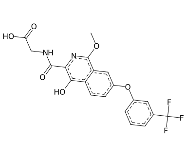 COc1nc(C(=O)NCC(=O)O)c(O)c2ccc(Oc3cccc(C(F)(F)F)c3)cc12